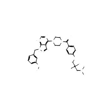 CCOc1cccc(Cn2ncc3c(N4CCN(C(=O)c5ccc(OCC(C)(C)CN(C)C)cc5)CC4)ncnc32)c1.Cl